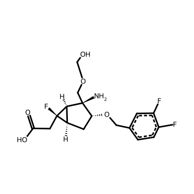 N[C@]1(COCO)[C@H]2[C@@H](C[C@H]1OCc1ccc(F)c(F)c1)[C@]2(F)CC(=O)O